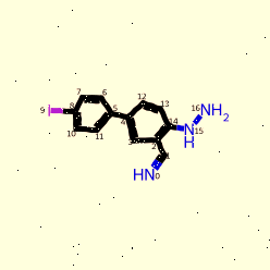 N=Cc1cc(-c2ccc(I)cc2)ccc1NN